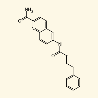 NC(=O)c1ccc2cc(NC(=O)[CH]CCc3ccccc3)ccc2n1